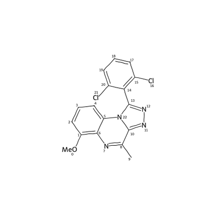 COc1cccc2c1nc(C)c1nnc(-c3c(Cl)cccc3Cl)n12